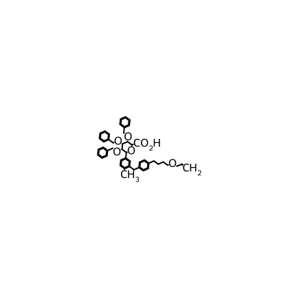 C=CCOCCCCc1ccc(Cc2cc(C3OC(C(=O)O)[C@@H](OCc4ccccc4)C(OCc4ccccc4)[C@H]3OCc3ccccc3)ccc2C)cc1